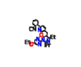 CCOc1cnc(-n2c(C(C)C)nc(CC)c(Cc3ccc(-c4ccccc4C#N)nc3)c2=O)nc1